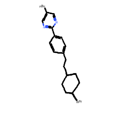 CCCCc1cnc(-c2ccc(CCC3CCC(CCC)CC3)cc2)nc1